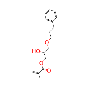 C=C(C)C(=O)OCC(O)COCCCc1ccccc1